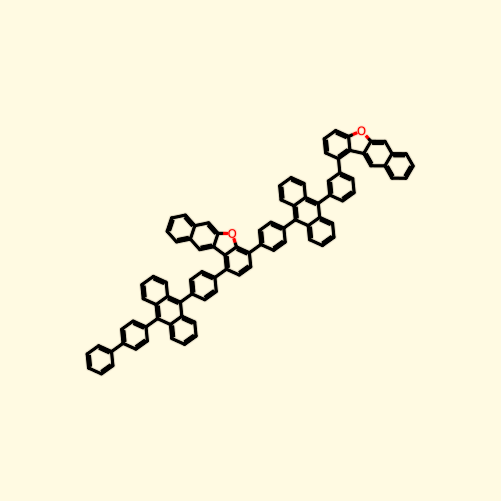 c1ccc(-c2ccc(-c3c4ccccc4c(-c4ccc(-c5ccc(-c6ccc(-c7c8ccccc8c(-c8cccc(-c9cccc%10oc%11cc%12ccccc%12cc%11c9%10)c8)c8ccccc78)cc6)c6oc7cc8ccccc8cc7c56)cc4)c4ccccc34)cc2)cc1